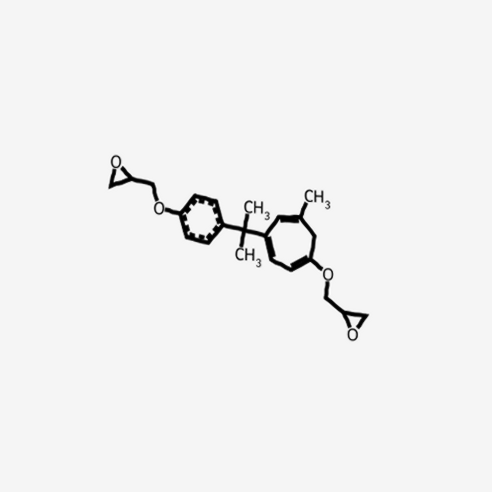 CC1=CC(C(C)(C)c2ccc(OCC3CO3)cc2)=CC=C(OCC2CO2)C1